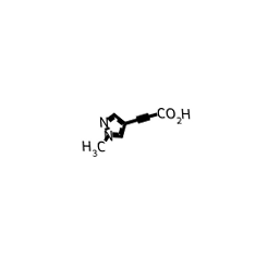 Cn1cc(C#CC(=O)O)cn1